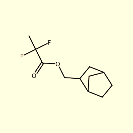 CC(F)(F)C(=O)OCC1CC2CCC1C2